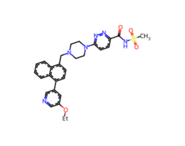 CCOc1cncc(-c2ccc(CN3CCN(c4ccc(C(=O)NS(C)(=O)=O)nn4)CC3)c3ccccc23)c1